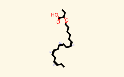 CC/C=C\C/C=C\C/C=C\C/C=C\CCCCCOC(CC)C(=O)O